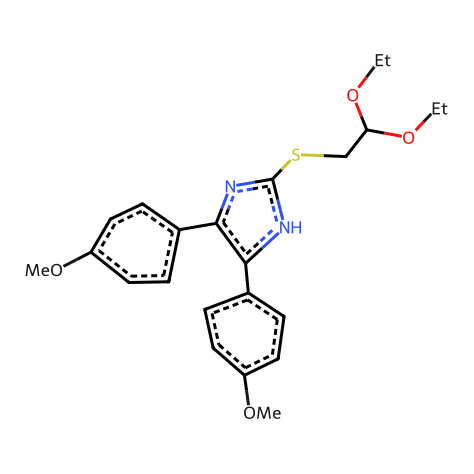 CCOC(CSc1nc(-c2ccc(OC)cc2)c(-c2ccc(OC)cc2)[nH]1)OCC